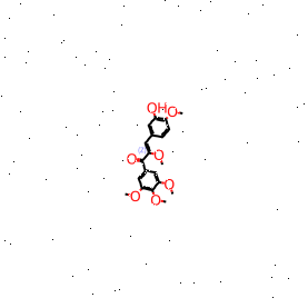 CO/C(=C\c1ccc(OC)c(O)c1)C(=O)c1cc(OC)c(OC)c(OC)c1